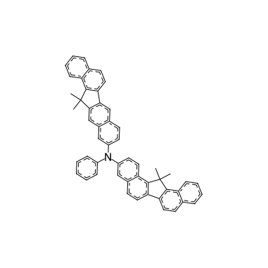 CC1(C)c2cc3cc(N(c4ccccc4)c4ccc5c6c(ccc5c4)-c4ccc5ccccc5c4C6(C)C)ccc3cc2-c2ccc3ccccc3c21